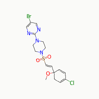 COC1(C=CS(=O)(=O)N2CCN(c3ncc(Br)cn3)CC2)C=CC(Cl)=CC1